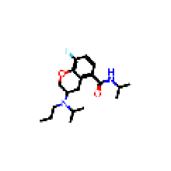 CCCN(C(C)C)C1COc2c(F)ccc(C(=O)NC(C)C)c2C1